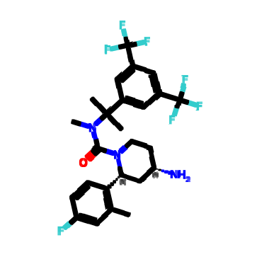 Cc1cc(F)ccc1[C@H]1C[C@@H](N)CCN1C(=O)N(C)C(C)(C)c1cc(C(F)(F)F)cc(C(F)(F)F)c1